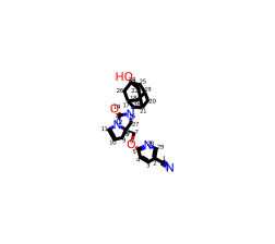 N#Cc1ccc(OC[C@@]23CC=CN2C(=O)N(C2C4CC5CC2CC(O)(C5)C4)C3)nc1